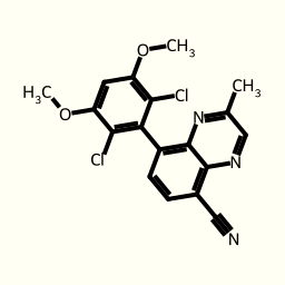 COc1cc(OC)c(Cl)c(-c2ccc(C#N)c3ncc(C)nc23)c1Cl